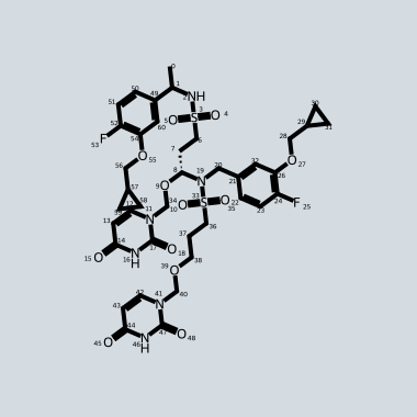 CC(NS(=O)(=O)CC[C@@H](OCn1ccc(=O)[nH]c1=O)N(Cc1ccc(F)c(OCC2CC2)c1)S(=O)(=O)CCCOCn1ccc(=O)[nH]c1=O)c1ccc(F)c(OCC2CC2)c1